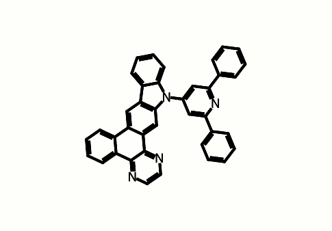 c1ccc(-c2cc(-n3c4ccccc4c4cc5c6ccccc6c6nccnc6c5cc43)cc(-c3ccccc3)n2)cc1